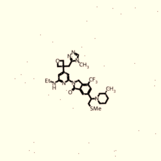 CCNc1cc(C2(Cc3nncn3C)COC2)cc(N2Cc3c(cc(C(CSC)N4CCC[C@H](C)C4)cc3C(F)(F)F)C2=O)n1